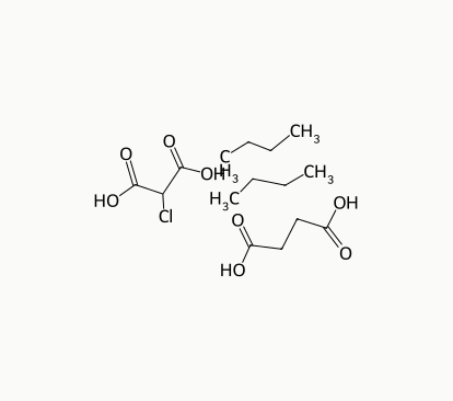 CCCC.CCCC.O=C(O)C(Cl)C(=O)O.O=C(O)CCC(=O)O